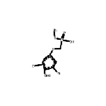 CCC(C)OP(=O)(O)COc1cc(Cl)c(C=O)c(Cl)c1